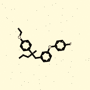 CCCC(C)(Cc1cccc(Oc2ccc(F)cc2)c1)c1ccc(OCC)cc1